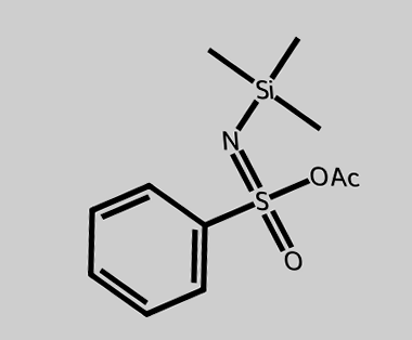 CC(=O)OS(=O)(=N[Si](C)(C)C)c1ccccc1